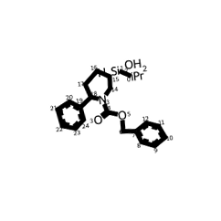 CC(C)[SiH3].O.O=C(OCc1ccccc1)N1CCCCC1c1ccccc1